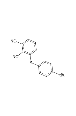 CC(C)(C)c1ccc(Sc2cccc(C#N)c2C#N)cc1